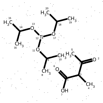 CC(=O)C(C)C(=O)O.CC(C)[O][Ti]([O]C(C)C)[O]C(C)C